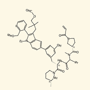 C=CC(=O)N1CC[C@H](C(=O)N(C)C(C(=O)N[C@@H](Cc2cc(O)cc(-c3ccc4c(c3)c(CC(C)(C)COC=O)c(-c3cccnc3COC)n4CC)c2)C(=O)N2CCC[C@@H](C)N2)C(C)C)C1